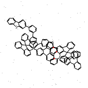 c1cc(-c2ccc(N(c3ccc4c5ccccc5c5ccccc5c4c3)c3cccc4c3C3(c5ccccc5-c5cc(-c6ccc7sc8ccc(-c9ccccc9N(c9ccc%10c%11ccccc%11c%11ccccc%11c%10c9)c9cccc%10c9C9(c%11ccccc%11-c%11ccccc%119)c9ccccc9-%10)cc8c7c6)ccc53)c3ccccc3-4)cc2)cc(-c2ccc3c(c2)sc2ccccc23)c1